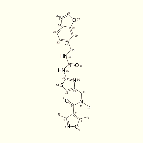 Cc1noc(C)c1C(=O)N(C)Cc1csc(NC(=O)NCc2ccc3ncoc3c2)n1